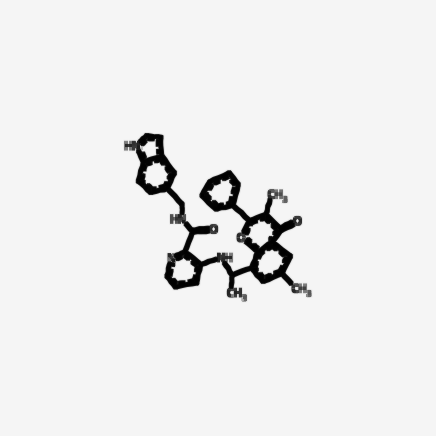 Cc1cc(C(C)Nc2cccnc2C(=O)NCc2ccc3[nH]ccc3c2)c2oc(-c3ccccc3)c(C)c(=O)c2c1